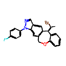 CC(Br)=C1c2cc3cnn(-c4ccc(F)cc4)c3cc2COc2ccccc21